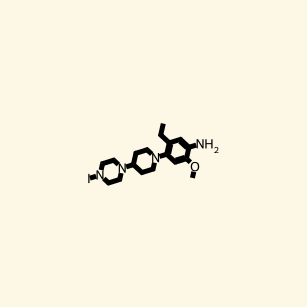 CCc1cc(N)c(OC)cc1N1CCC(N2CCN(I)CC2)CC1